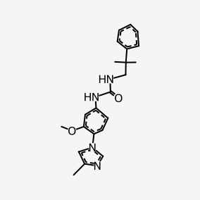 COc1cc(NC(=O)NCC(C)(C)c2ccccc2)ccc1-n1cnc(C)c1